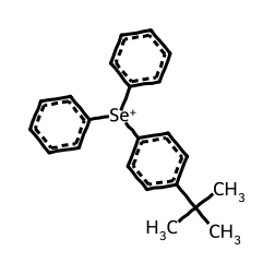 CC(C)(C)c1ccc([Se+](c2ccccc2)c2ccccc2)cc1